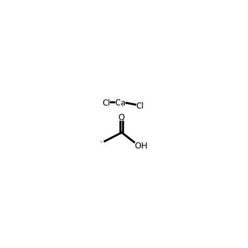 [CH2]C(=O)O.[Cl][Ca][Cl]